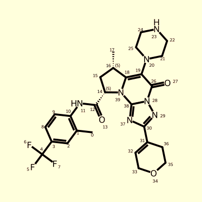 Cc1cc(C(F)(F)F)ccc1NC(=O)[C@@H]1C[C@H](C)c2c(N3CCNCC3)c(=O)n3nc(C4=CCOCC4)nc3n21